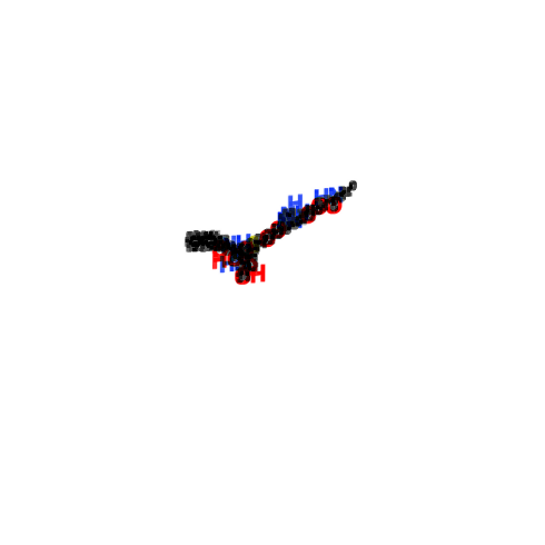 CCCCNC(=O)CCOCCOCCN/C=C(/COCCOCCS[C@H]1CC[C@@H](NC(=O)CO)[C@H]([C@H](O)CCNC(=O)Cc2ccc(-c3ccccc3)cc2)O1)N=N